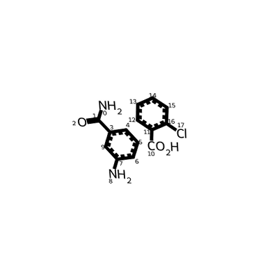 NC(=O)c1cccc(N)c1.O=C(O)c1ccccc1Cl